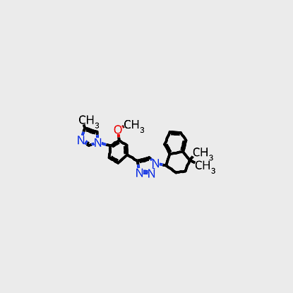 COc1cc(-c2cn(C3CCC(C)(C)c4ccccc43)nn2)ccc1-n1cnc(C)c1